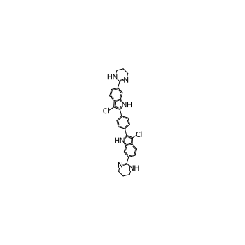 Clc1c(-c2ccc(-c3[nH]c4cc(C5=NCCCN5)ccc4c3Cl)cc2)[nH]c2cc(C3=NCCCN3)ccc12